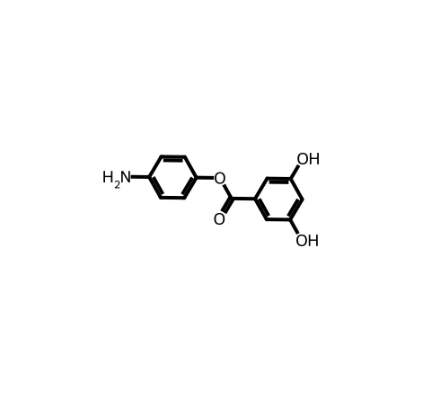 Nc1ccc(OC(=O)c2cc(O)cc(O)c2)cc1